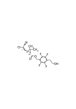 CC1(C)[C@H](/C=C(/Cl)C#N)[C@H]1C(=O)OCc1c(F)c(F)c(CCO)c(F)c1F